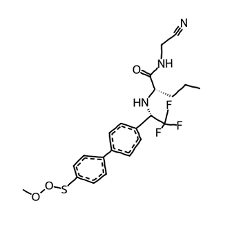 CCC[C@H](N[C@@H](c1ccc(-c2ccc(SOOC)cc2)cc1)C(F)(F)F)C(=O)NCC#N